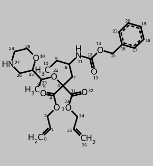 C=CCOC(=O)C(CC(CC)NC(=O)OCc1ccccc1)(OC(C)C1CNCCO1)C(=O)OCC=C